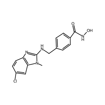 Cn1c(NCc2ccc(C(=O)NO)cc2)nc2ccc(Cl)cc21